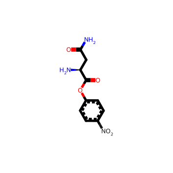 NC(=O)C[C@H](N)C(=O)Oc1ccc([N+](=O)[O-])cc1